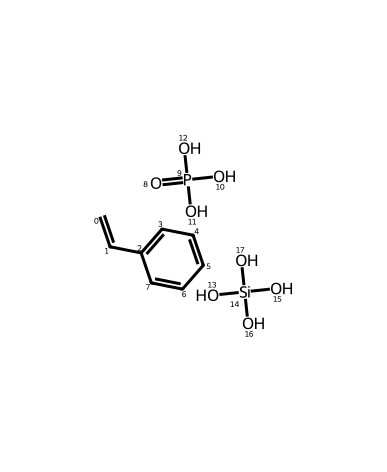 C=Cc1ccccc1.O=P(O)(O)O.O[Si](O)(O)O